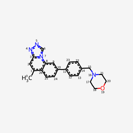 Cc1cc2nncn2c2cc(-c3ccc(CN4CCOCC4)cc3)ccc12